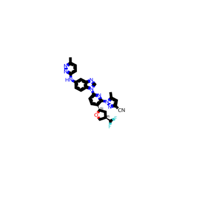 Cc1ccc(Nc2ccc3c(c2)ncn3-c2ccc([C@@H]3C[C@@H](C(F)F)CO3)c(-n3nc(C#N)cc3C)n2)nn1